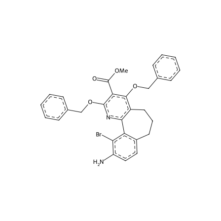 COC(=O)c1c(OCc2ccccc2)nc2c(c1OCc1ccccc1)CCCc1ccc(N)c(Br)c1-2